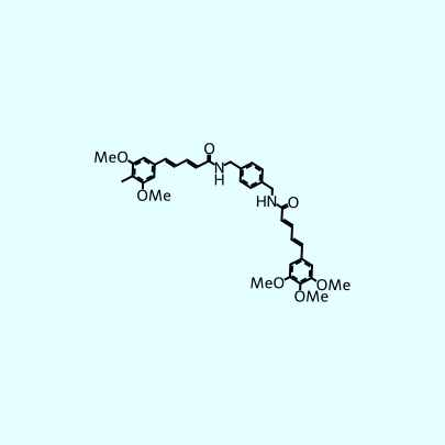 COc1cc(/C=C/C=C/C(=O)NCc2ccc(CNC(=O)/C=C/C=C/c3cc(OC)c(OC)c(OC)c3)cc2)cc(OC)c1C